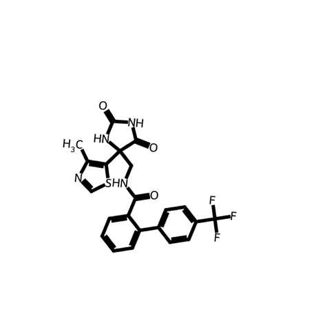 Cc1ncsc1C1(CNC(=O)c2ccccc2-c2ccc(C(F)(F)F)cc2)NC(=O)NC1=O